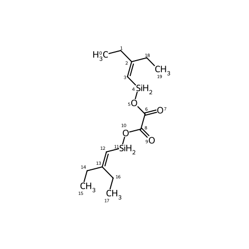 CCC(=C[SiH2]OC(=O)C(=O)O[SiH2]C=C(CC)CC)CC